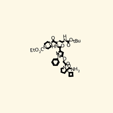 CCOC(=O)N1CCN(C(=O)[C@H](CCNC(=O)OC(C)(C)C)NC(=O)c2cc(OCC(=O)N3CCC[C@@]3(C(N)=O)C3CCC3)n(-c3ccccc3)n2)CC1